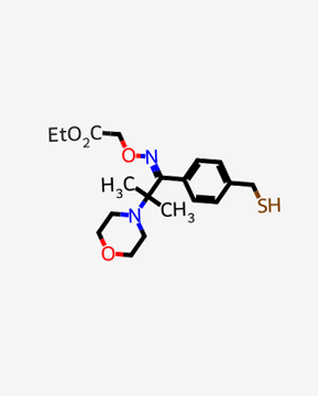 CCOC(=O)CO/N=C(/c1ccc(CS)cc1)C(C)(C)N1CCOCC1